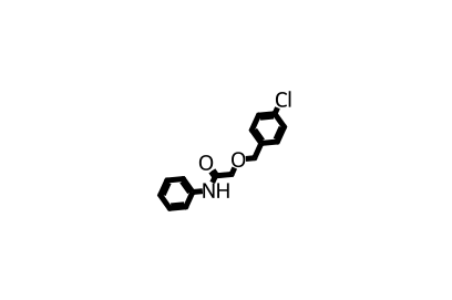 O=C(COCc1ccc(Cl)cc1)Nc1ccccc1